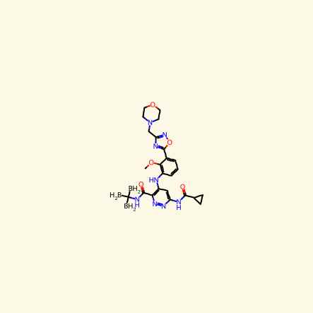 BC(B)(B)NC(=O)c1nnc(NC(=O)C2CC2)cc1Nc1cccc(-c2nc(CN3CCOCC3)no2)c1OC